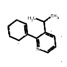 CC(C)c1cccnc1C1=CCCCC1